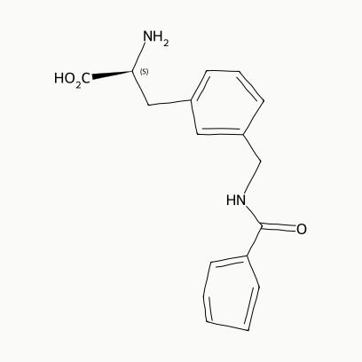 N[C@@H](Cc1cccc(CNC(=O)c2ccccc2)c1)C(=O)O